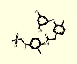 Cc1cc(NCS(C)(=O)=O)ccc1NC(=O)Cc1ccc(C)c(Oc2cc(Cl)cc(C#N)c2)c1